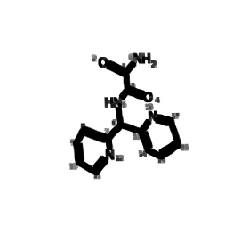 NC(=O)C(=O)NC(c1ccccn1)c1ccccn1